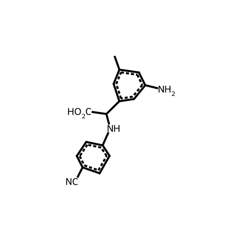 Cc1cc(N)cc(C(Nc2ccc(C#N)cc2)C(=O)O)c1